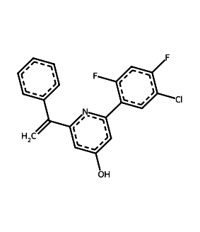 C=C(c1ccccc1)c1cc(O)cc(-c2cc(Cl)c(F)cc2F)n1